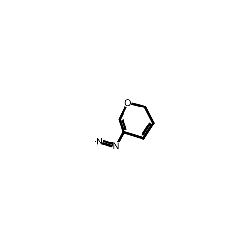 [N]=NC1=COCC=C1